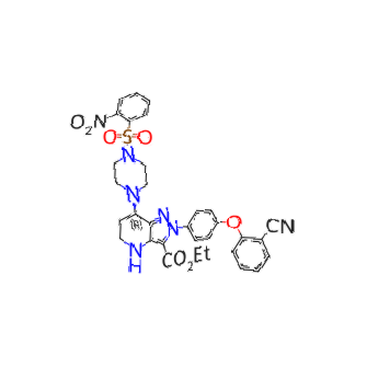 CCOC(=O)c1c2c(nn1-c1ccc(Oc3ccccc3C#N)cc1)[C@H](N1CCN(S(=O)(=O)c3ccccc3[N+](=O)[O-])CC1)CCN2